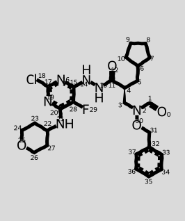 O=CN(C[C@H](CC1CCCC1)C(=O)NNc1nc(Cl)nc(NC2CCOCC2)c1F)OCc1ccccc1